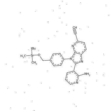 C#Cc1ccc2nc(-c3cccnc3N)n(-c3ccc(CO[Si](C)(C)C(C)(C)C)cc3)c2n1